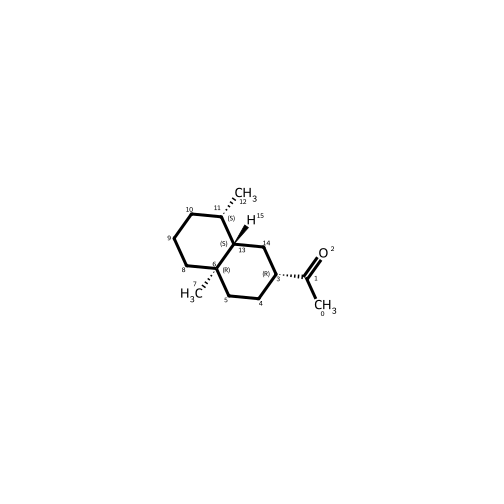 CC(=O)[C@@H]1CC[C@@]2(C)CCC[C@H](C)[C@@H]2C1